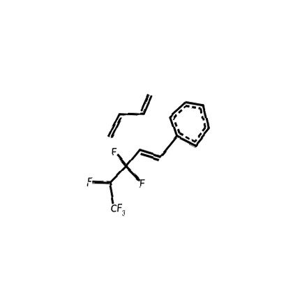 C=CC=C.FC(C(F)(F)F)C(F)(F)C=Cc1ccccc1